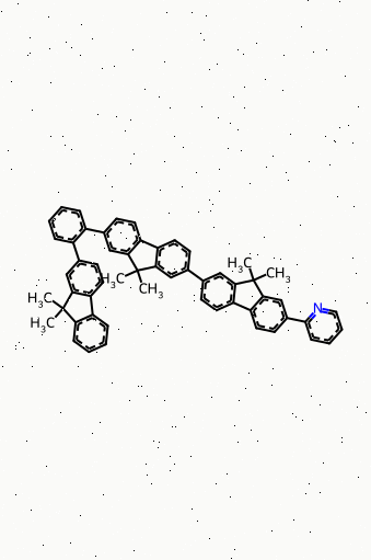 CC1(C)c2cc(-c3ccc4c(c3)C(C)(C)c3cc(-c5ccccc5-c5ccc6c(c5)C(C)(C)c5ccccc5-6)ccc3-4)ccc2-c2ccc(-c3ccccn3)cc21